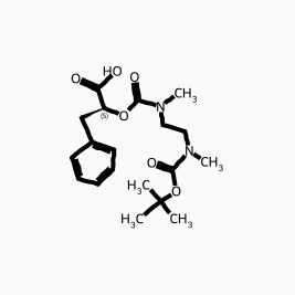 CN(CCN(C)C(=O)OC(C)(C)C)C(=O)O[C@@H](Cc1ccccc1)C(=O)O